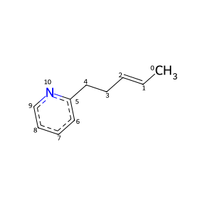 CC=CCCc1ccccn1